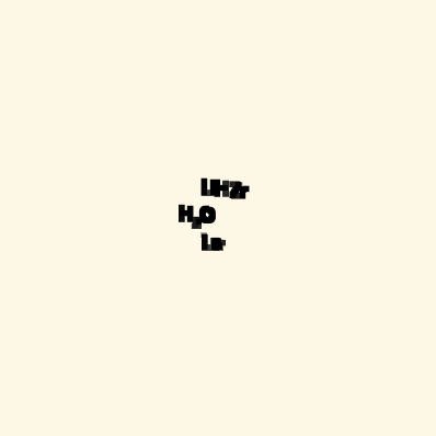 O.[La].[LiH].[Zr]